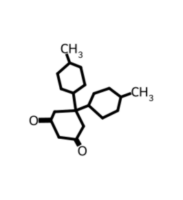 CC1CCC(C2(C3CCC(C)CC3)CC(=O)CC(=O)C2)CC1